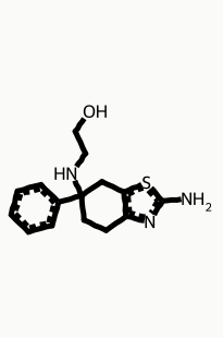 Nc1nc2c(s1)CC(NCCO)(c1ccccc1)CC2